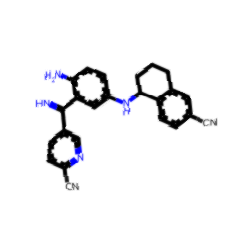 N#Cc1ccc2c(c1)CCCC2Nc1ccc(N)c(C(=N)c2ccc(C#N)nc2)c1